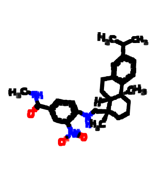 CNC(=O)c1ccc(NC[C@@]2(C)CCC[C@]3(C)c4ccc(C(C)C)cc4CC[C@@H]23)c([N+](=O)[O-])c1